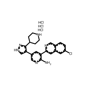 Cl.Cl.Cl.Nc1ncc(-c2c[nH]nc2C2CCNCC2)cc1-c1cc2cc(Cl)ccc2cn1